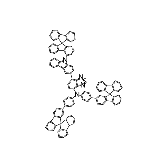 C1=CC2c3ccccc3C3(c4ccccc4-c4ccc(-c5ccc(N(c6ccc(-c7ccc8c(c7)C7(c9ccccc9-c9ccccc97)c7ccccc7-8)cc6)c6ccc(-c7ccc8c(c7)c7ccccc7n8-c7cccc8c7-c7ccccc7C87c8ccccc8-c8ccccc87)c7nsnc67)cc5)cc43)C2C=C1